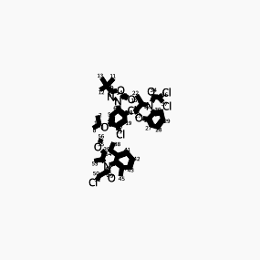 CC(C)Oc1cc(-n2nc(C(C)(C)C)oc2=O)c(Cl)cc1Cl.CC1COc2ccccc2N1C(=O)C(Cl)Cl.CCc1cccc(C)c1N(C(=O)CCl)C(C)COC